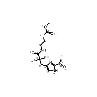 COC(=O)OCCNC(=O)C(F)(F)Cc1c[nH]c([N+](=O)[O-])n1